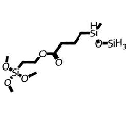 CO[Si](CCOC(=O)CCC[SiH](C)O[SiH3])(OC)OC